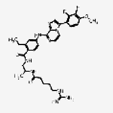 CCc1cc(Nc2nccn3c(-c4ccc(OC)c(F)c4F)cnc23)ccc1C(=O)NCC(C)NC(=O)CCCCNC(=N)N